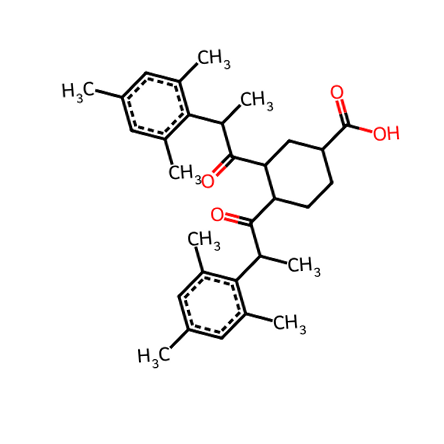 Cc1cc(C)c(C(C)C(=O)C2CCC(C(=O)O)CC2C(=O)C(C)c2c(C)cc(C)cc2C)c(C)c1